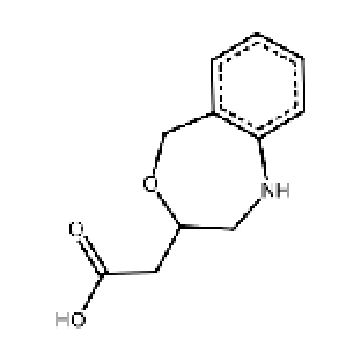 O=C(O)CC1CNc2ccccc2CO1